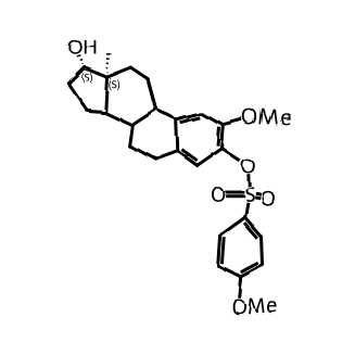 COc1ccc(S(=O)(=O)Oc2cc3c(cc2OC)C2CC[C@@]4(C)C(CC[C@@H]4O)C2CC3)cc1